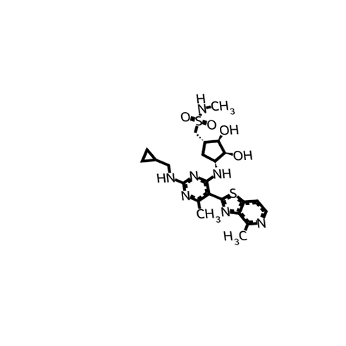 CNS(=O)(=O)C[C@H]1C[C@@H](Nc2nc(NCC3CC3)nc(C)c2-c2nc3c(C)nccc3s2)[C@H](O)[C@@H]1O